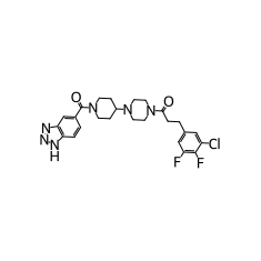 O=C(CCc1cc(F)c(F)c(Cl)c1)N1CCN(C2CCN(C(=O)c3ccc4[nH]nnc4c3)CC2)CC1